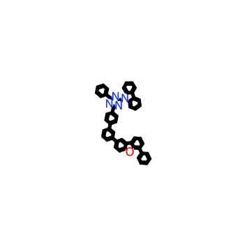 c1ccc(-c2nc(-c3ccc(-c4cccc(-c5ccc6oc7c(-c8ccccc8)cccc7c6c5)c4)cc3)nc(-n3c4ccccc4c4ccccc43)n2)cc1